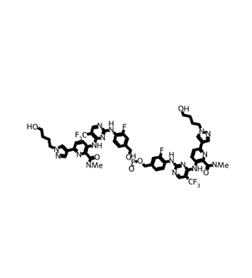 CNC(=O)c1nc(-c2cnn(CCCCO)c2)ccc1Nc1nc(Nc2ccc(CO[PH](=O)OCc3ccc(Nc4ncc(C(F)(F)F)c(Nc5ccc(-c6cnn(CCCCO)c6)nc5C(=O)NC)n4)c(F)c3)cc2F)ncc1C(F)(F)F